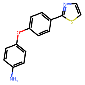 Nc1ccc(Oc2ccc(-c3nccs3)cc2)cc1